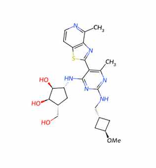 CO[C@H]1C[C@H](CNc2nc(C)c(-c3nc4c(C)nccc4s3)c(N[C@@H]3C[C@H](CO)[C@@H](O)[C@H]3O)n2)C1